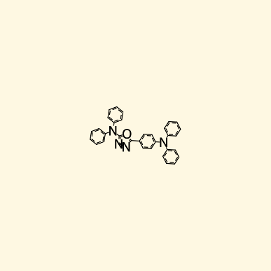 c1ccc(N(c2ccccc2)c2ccc(-c3nnc(N(c4ccccc4)c4ccccc4)o3)cc2)cc1